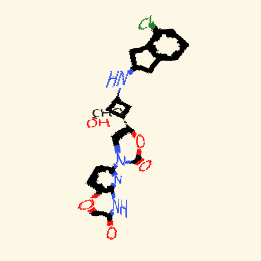 O=C1COc2ccc(N3CC([C@H]4C[C@@H](NC5Cc6cccc(Cl)c6C5)C4)OC3=O)nc2N1.O=CO